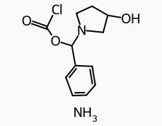 N.O=C(Cl)OC(c1ccccc1)N1CCC(O)C1